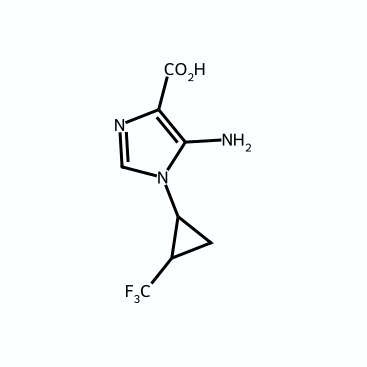 Nc1c(C(=O)O)ncn1C1CC1C(F)(F)F